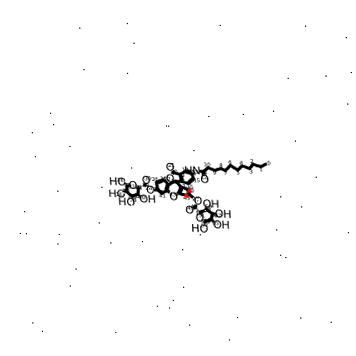 CCCCCCCCCCCC(=O)Nc1ccc2c(c1)C(=O)OC21c2ccc(OC(=O)[C@H]3O[C@@H](O)[C@H](O)[C@@H](O)[C@@H]3O)cc2Oc2cc(OC(=O)[C@H]3O[C@@H](O)[C@H](O)[C@@H](O)[C@@H]3O)ccc21